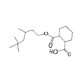 CC(CCOC(=O)C1CCCCC1C(=O)O)CC(C)(C)C